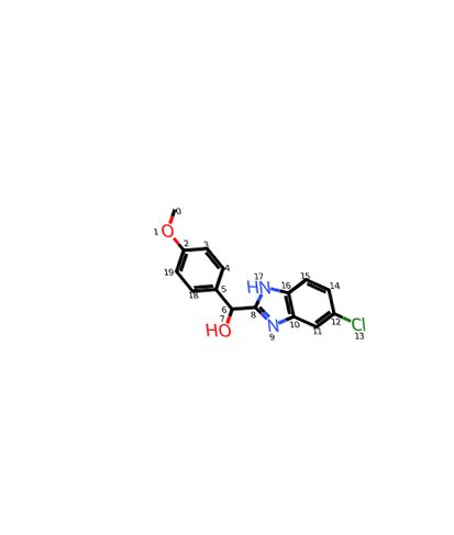 COc1ccc(C(O)c2nc3cc(Cl)ccc3[nH]2)cc1